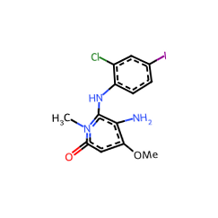 COc1cc(=O)n(C)c(Nc2ccc(I)cc2Cl)c1N